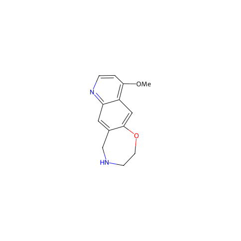 COc1ccnc2cc3c(cc12)OCCNC3